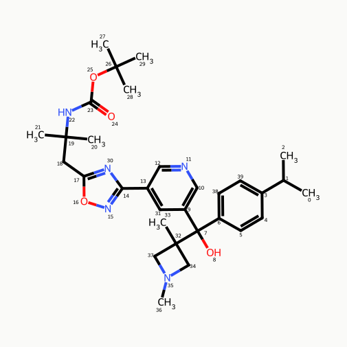 CC(C)c1ccc(C(O)(c2cncc(-c3noc(CC(C)(C)NC(=O)OC(C)(C)C)n3)c2)C2(C)CN(C)C2)cc1